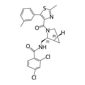 Cc1cccc(-c2sc(C)nc2C(=O)N2C[C@@H]3CC3[C@H]2CNC(=O)c2ccc(Cl)cc2Cl)c1